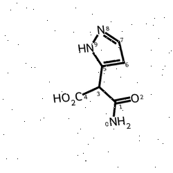 NC(=O)C(C(=O)O)c1ccn[nH]1